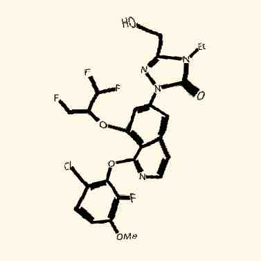 CCn1c(CO)nn(-c2cc(OC(CF)C(F)F)c3c(Oc4c(Cl)ccc(OC)c4F)nccc3c2)c1=O